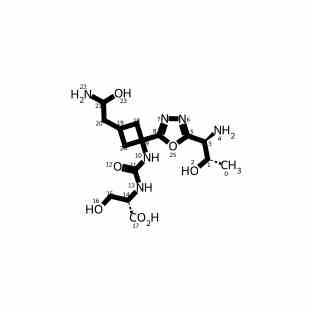 C[C@H](O)[C@H](N)c1nnc(C2(NC(=O)N[C@@H](CO)C(=O)O)CC(CC(N)O)C2)o1